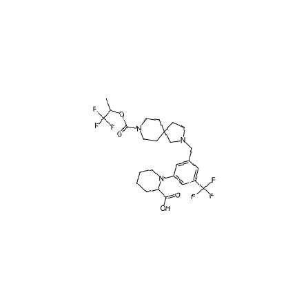 CC(OC(=O)N1CCC2(CCN(Cc3cc(N4CCCCC4C(=O)O)cc(C(F)(F)F)c3)C2)CC1)C(F)(F)F